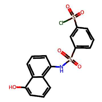 O=S(=O)(Cl)c1cccc(S(=O)(=O)Nc2cccc3c(O)cccc23)c1